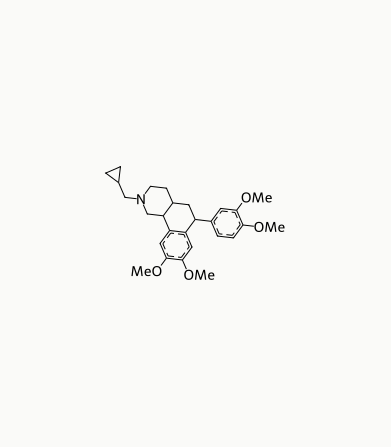 COc1ccc(C2CC3CCN(CC4CC4)CC3c3cc(OC)c(OC)cc32)cc1OC